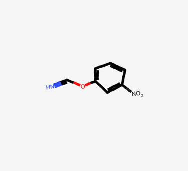 N=COc1cccc([N+](=O)[O-])c1